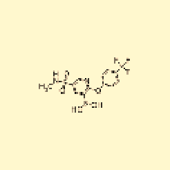 CNS(=O)(=O)c1cnc(Oc2ccc(C(F)(F)F)cc2)c(B(O)O)c1